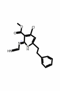 COC(=O)c1c(Cl)cc(CCc2ccccc2)[nH]/c1=N\C=N